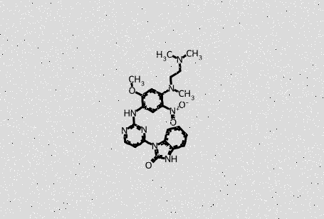 COc1cc(N(C)CCN(C)C)c([N+](=O)[O-])cc1Nc1nccc(-n2c(=O)[nH]c3ccccc32)n1